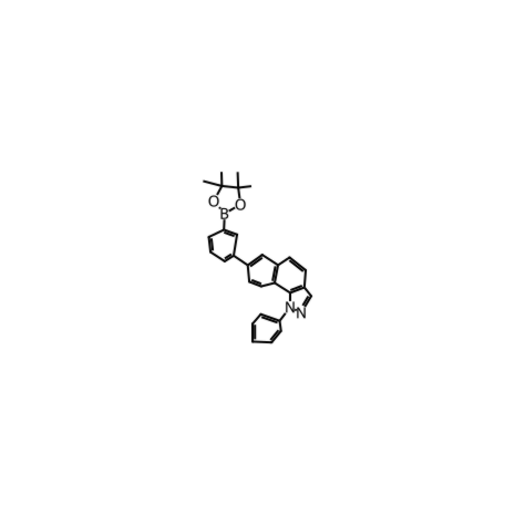 CC1(C)OB(c2cccc(-c3ccc4c(ccc5cnn(-c6ccccc6)c54)c3)c2)OC1(C)C